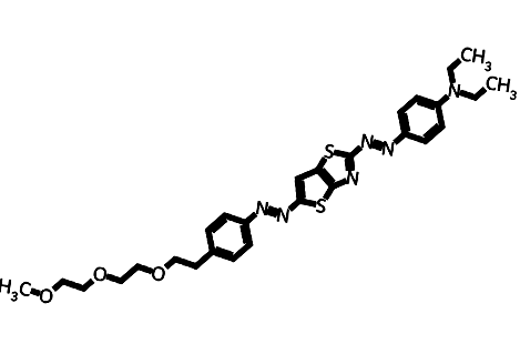 CCN(CC)c1ccc(N=Nc2nc3sc(N=Nc4ccc(CCOCCOCCOC)cc4)cc3s2)cc1